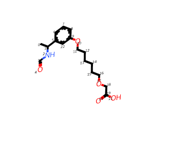 CC(NC=O)c1cccc(OCCCCCCOCC(=O)O)c1